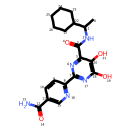 CC(NC(=O)c1nc(-c2ccc(C(N)=O)cn2)nc(O)c1O)C1CCCCC1